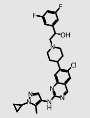 Cc1c(Nc2ncc3cc(Cl)c(C4CCN(C[C@H](O)c5cc(F)cc(F)c5)CC4)cc3n2)cnn1C1CC1